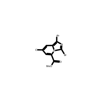 COC(=O)c1cc(Cl)cc2c(C(C)C)nc(Br)n12